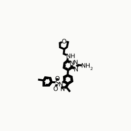 Cc1ccc(S(=O)(=O)n2nc(C)c3ccc(-c4ccc(NCC5CCOCC5)n5nc(N)nc45)cc32)cc1